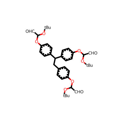 CC(C)(C)OC(C=O)Oc1ccc(CC(c2ccc(OC(C=O)OC(C)(C)C)cc2)c2ccc(OC(C=O)OC(C)(C)C)cc2)cc1